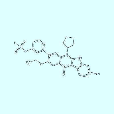 N#Cc1ccc2c(c1)[nH]c1c2c(=O)c2cc(OCC(F)(F)F)c(-c3cccc(OS(=O)(=O)F)c3)cc2n1C1CCCC1